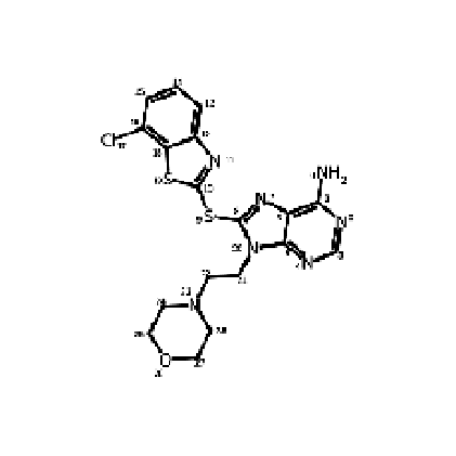 Nc1ncnc2c1nc(Sc1nc3cccc(Cl)c3s1)n2CCN1CCOCC1